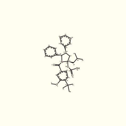 COc1cc(C(=O)N2[C@@H](c3ccccc3)[C@@H](c3cnccn3)C[C@]2(CC(C)C)OC(=O)O)ccc1C(C)(C)C